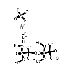 CCOP(=O)(OCC)C([O-])([O-])C=O.CCOP(=O)(OCC)C([O-])([O-])C=O.O=P([O-])(F)F.[Li+].[Li+].[Li+].[Li+].[Li+]